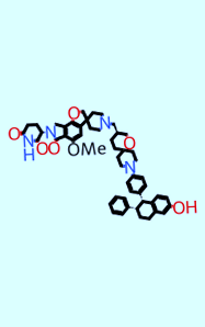 COc1cc2c(c3c1C(=O)N([C@H]1CCC(=O)NC1=O)C3)OCC21CCN(C[C@@H]2CCC3(CCN(c4ccc([C@@H]5c6ccc(O)cc6CC[C@@H]5c5ccccc5)cc4)CC3)OC2)CC1